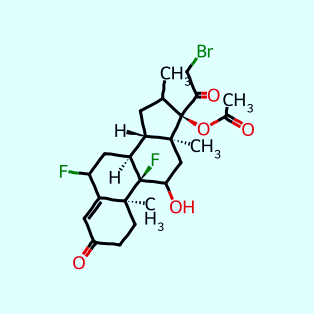 CC(=O)O[C@]1(C(=O)CBr)C(C)C[C@H]2[C@@H]3CC(F)C4=CC(=O)CC[C@]4(C)[C@@]3(F)C(O)C[C@@]21C